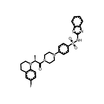 C[C@@H](C(=O)N1CCN(c2ccc(S(=O)(=O)Nc3nc4ccccc4s3)cc2)CC1)N1CCCc2cc(F)ccc21